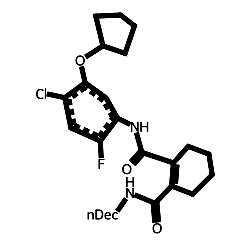 CCCCCCCCCCNC(=O)C1=C(C(=O)Nc2cc(OC3CCCC3)c(Cl)cc2F)CCCC1